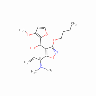 C=C[C@@H](c1onc(OCCCC)c1C(O)c1occc1OC)N(C)C